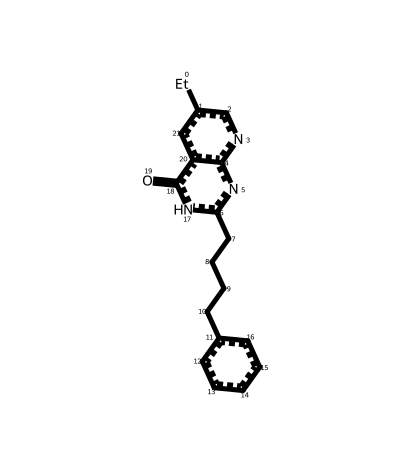 CCc1cnc2nc(CCCCc3ccccc3)[nH]c(=O)c2c1